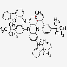 Cc1cc2c3c(c1)N(c1cccc4c1oc1ccccc14)c1cc(C(C)(C)C)ccc1B3c1ccc(N3c4ccccc4C4(C)CCCCC34C)cc1N2c1ccc(C(C)(C)C)cc1-c1ccccc1